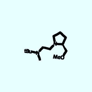 COC[C@@H]1CCCN1CCN(C)C(C)(C)C